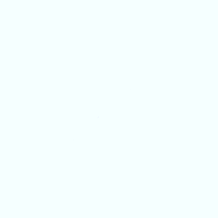 O=C1CCC2=C3CCC4C5CCCCC5CCC4C3CCC2C1